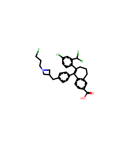 O=C(O)c1ccc2c(c1)CCCC(c1ccc(Cl)cc1C(F)F)=C2c1ccc(CC2CN(CCCF)C2)cc1